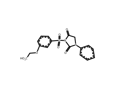 O=C(O)COc1cccc(S(=O)(=O)N2C(=O)CN(c3ccccc3)C2=O)c1